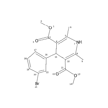 COC(=O)C1=C(C)NC(C)=C(C(=O)OC)C1c1cccc(Br)c1